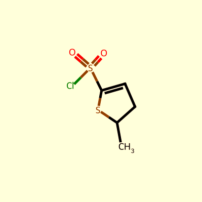 CC1CC=C(S(=O)(=O)Cl)S1